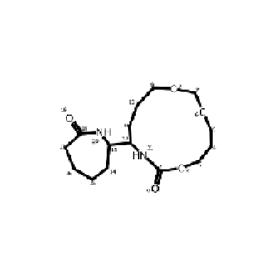 O=C1CCCCCCCCCCC(C2CCCCC(=O)N2)N1